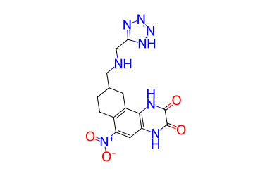 O=c1[nH]c2cc([N+](=O)[O-])c3c(c2[nH]c1=O)CC(CNCc1nnn[nH]1)CC3